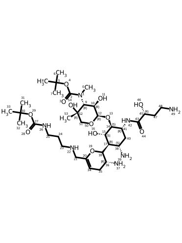 CN(C(=O)OC(C)(C)C)[C@@H]1[C@@H](O)[C@@H](O[C@@H]2[C@@H](O)[C@H](C3OC(CNCCCNC(=O)OC(C)(C)C)=CC[C@H]3N)[C@@H](N)C[C@H]2NC(=O)[C@H](O)CCN)OC[C@]1(C)O